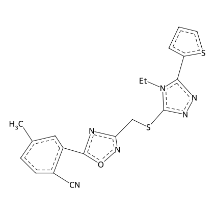 CCn1c(SCc2noc(-c3cc(C)ccc3C#N)n2)nnc1-c1cccs1